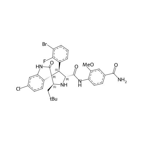 COc1cc(C(N)=O)ccc1NC(=O)[C@@H]1N[C@@H](CC(C)(C)C)[C@@]2(C(=O)Nc3cc(Cl)ccc32)[C@H]1c1cccc(Br)c1F